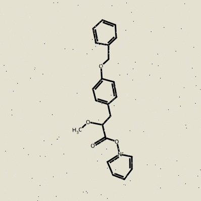 COC(Cc1ccc(OCc2ccccc2)cc1)C(=O)O[n+]1ccccc1